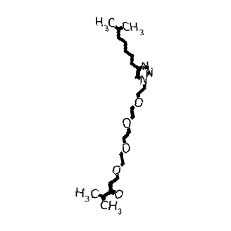 CC(C)CCCCCc1cn(CCOCCOCCOCCOCCC(=O)C(C)C)nn1